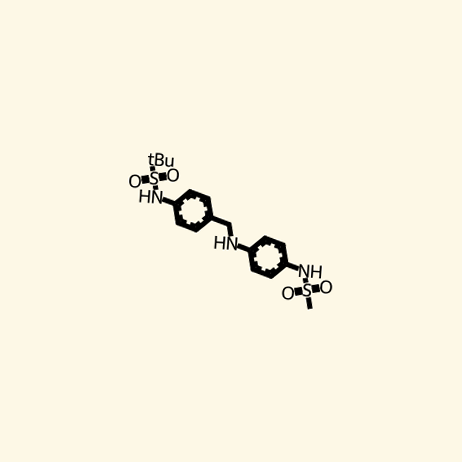 CC(C)(C)S(=O)(=O)Nc1ccc(CNc2ccc(NS(C)(=O)=O)cc2)cc1